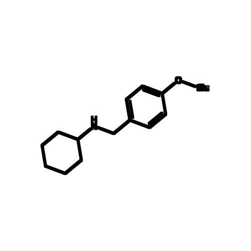 CC(C)(C)Oc1ccc(CNC2CCCCC2)cc1